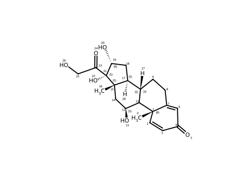 C[C@]12C=CC(=O)C=C1CC[C@@H]1C2[C@@H](O)C[C@@]2(C)[C@H]1C[C@@H](O)[C@]2(O)C(=O)CO